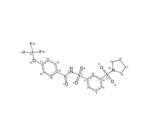 O=C(NS(=O)(=O)c1cccc(S(=O)(=O)N2CCCC2)c1)c1ccc(OC(F)(F)F)cc1